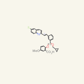 COc1ccc(OC[C@@H](OCC2CC2)c2cccc(/C=C/c3ccc4cc(F)ccc4n3)c2)c(C(=O)O)c1